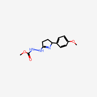 COC(=O)NNC1=NC(c2ccc(OC)cc2)CC1